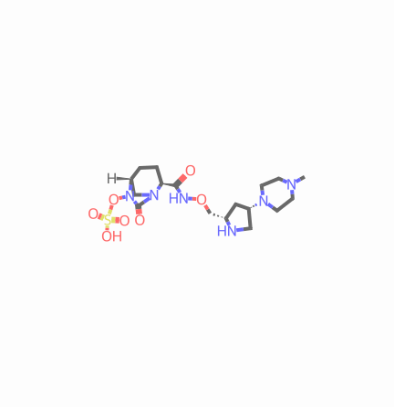 CN1CCN([C@@H]2CN[C@H](CONC(=O)[C@@H]3CC[C@@H]4CN3C(=O)N4OS(=O)(=O)O)C2)CC1